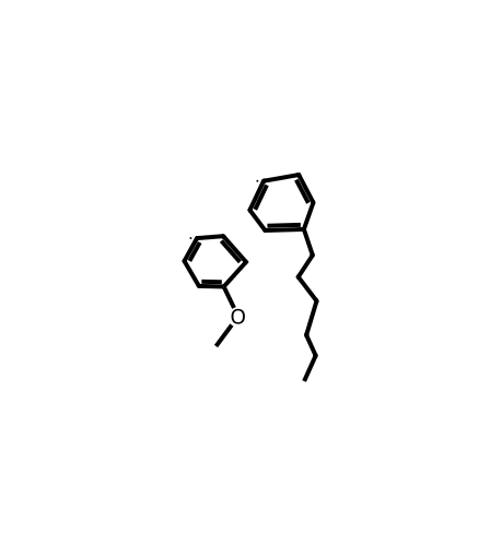 CCCCCCc1cc[c]cc1.COc1cc[c]cc1